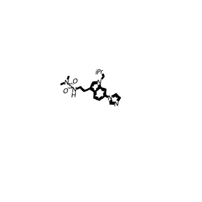 CC(C)Cn1cc(CCNS(=O)(=O)N(C)C)c2ccc(-n3ccnc3)cc21